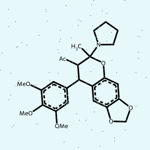 COc1cc(C2c3cc4c(cc3OC(C)(N3CCCC3)C2C(C)=O)OCO4)cc(OC)c1OC